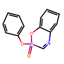 O=P1(Oc2ccccc2)C=Nc2ccccc2O1